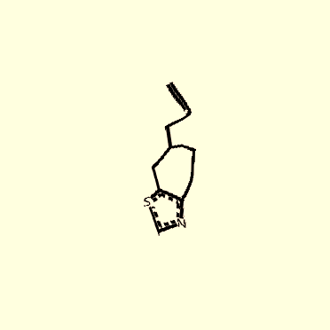 C=CCC1CCc2n[c]sc2C1